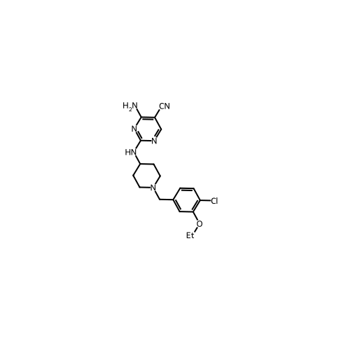 CCOc1cc(CN2CCC(Nc3ncc(C#N)c(N)n3)CC2)ccc1Cl